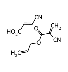 C=CCOC(=O)C(=C)C#N.N#CC=CC(=O)O